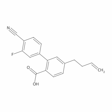 C=CCCc1ccc(C(=O)O)c(-c2ccc(C#N)c(F)c2)c1